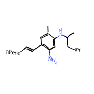 CCCCCC=Cc1cc(C)c(NC(C)CC(C)C)cc1N